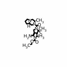 CCOC(=O)n1nc2c(c1N)CN(C(=O)N1C[C@@H]3CCCN3C[C@@H]1C)C2(C)C